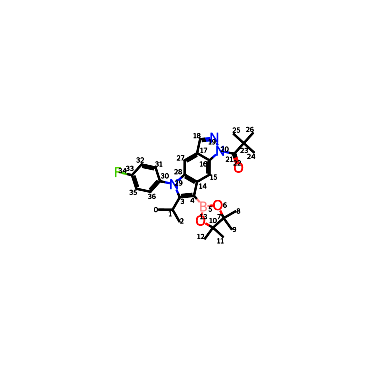 CC(C)c1c(B2OC(C)(C)C(C)(C)O2)c2cc3c(cnn3C(=O)C(C)(C)C)cc2n1-c1ccc(F)cc1